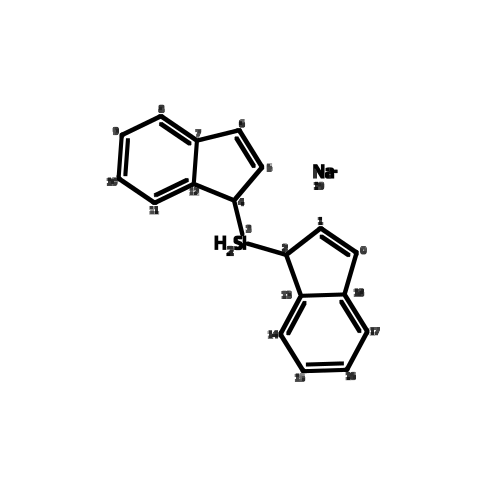 C1=CC([SiH2]C2C=Cc3ccccc32)c2ccccc21.[Na]